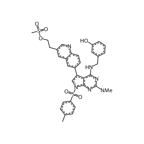 CNc1nc(NCc2cccc(O)c2)c2c(-c3ccc4ncc(CCOS(C)(=O)=O)cc4c3)cn(S(=O)(=O)c3ccc(C)cc3)c2n1